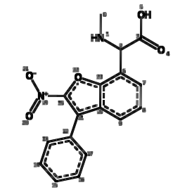 CNC(C(=O)O)c1cccc2c(-c3ccccc3)c([N+](=O)[O-])oc12